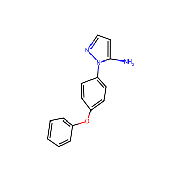 Nc1ccnn1-c1ccc(Oc2ccccc2)cc1